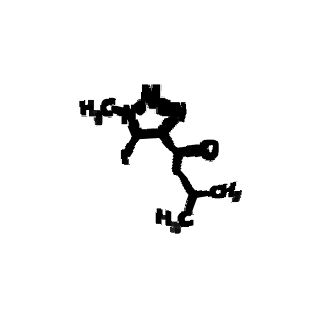 CC(C)CC(=O)c1nnn(C)c1I